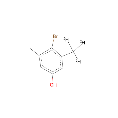 [2H]C([2H])([2H])c1cc(O)cc(C)c1Br